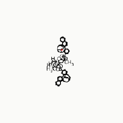 CC1(C)OB(c2ccc3c(c2)-c2ccc4ccccc4c2C2CC4CC(CC3C4)C2)OC1(C)CCC1(C)OB(c2cccc3c2C2CC4CC(C2)CC(C4)c2c-3ccc3ccccc23)OC1(C)C